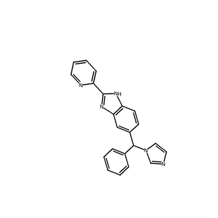 c1ccc(C(c2ccc3[nH]c(-c4ccccn4)nc3c2)n2ccnc2)cc1